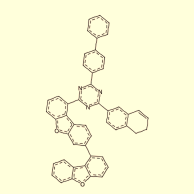 C1=Cc2cc(-c3nc(-c4ccc(-c5ccccc5)cc4)nc(-c4cccc5oc6cc(-c7cccc8oc9ccccc9c78)ccc6c45)n3)ccc2CC1